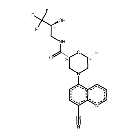 C[C@@H]1CN(c2ccc(C#N)c3ncccc23)C[C@H](C(=O)NC[C@H](O)C(F)(F)F)O1